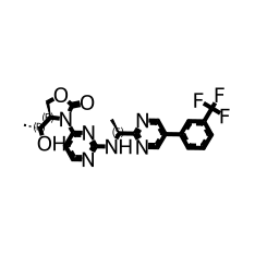 C[C@H](Nc1nccc(N2C(=O)OC[C@@H]2[C@@H](C)O)n1)c1ncc(-c2cccc(C(F)(F)F)c2)cn1